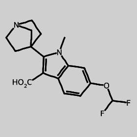 Cn1c(C23CCN(CC2)C3)c(C(=O)O)c2ccc(OC(F)F)cc21